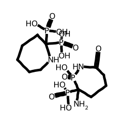 NC1(P(=O)(O)O)CCCC(=O)NP1(=O)O.O=P(O)(O)C1(P(=O)(O)O)CCCCCN1